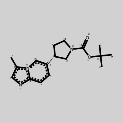 Cc1cnc2ccc([C@@H]3CCN(C(=O)OC(C)(C)C)C3)cn12